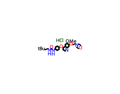 COc1cc2c(Oc3ccc(NC(=O)NCCC(C)(C)C)cc3)ccnc2cc1OCCN1CCOCC1.Cl